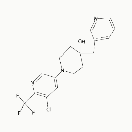 OC1(Cc2cccnc2)CCN(c2cnc(C(F)(F)F)c(Cl)c2)CC1